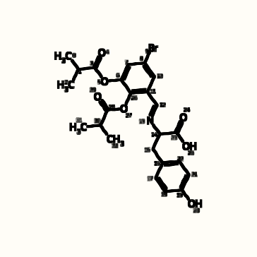 CC(C)C(=O)Oc1cc(Br)cc(C=NC(Cc2ccc(O)cc2)C(=O)O)c1OC(=O)C(C)C